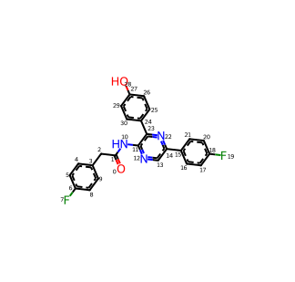 O=C(Cc1ccc(F)cc1)Nc1ncc(-c2ccc(F)cc2)nc1-c1ccc(O)cc1